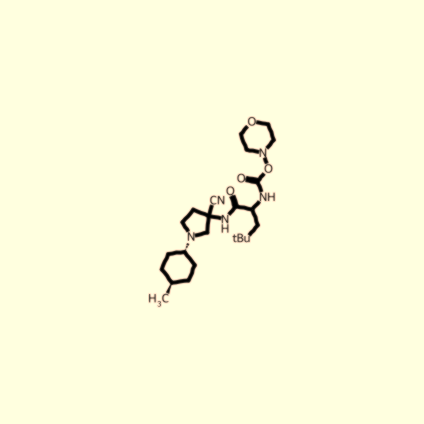 CC(C)(C)CC(NC(=O)ON1CCOCC1)C(=O)NC1(C#N)CCN([C@H]2CC[C@H](C)CC2)C1